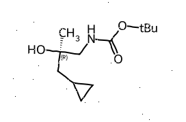 CC(C)(C)OC(=O)NC[C@](C)(O)CC1CC1